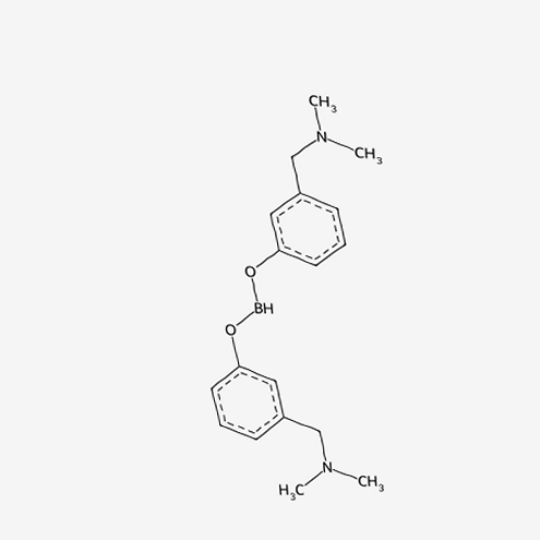 CN(C)Cc1cccc(OBOc2cccc(CN(C)C)c2)c1